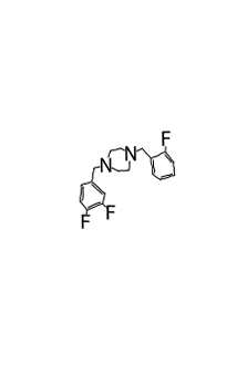 Fc1ccc(CN2CCN(Cc3ccccc3F)CC2)cc1F